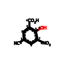 N#Cc1cc(C(=O)O)c(O)c([N+](=O)[O-])c1